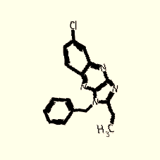 CCc1nc2nc3cc(Cl)ccc3nc2n1Cc1ccccc1